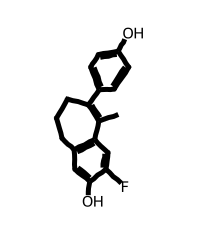 CC1=C(c2ccc(O)cc2)CCCc2cc(O)c(F)cc21